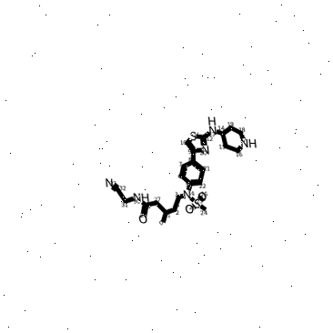 CC(CCN(c1ccc(-c2csc(NC3CCNCC3)n2)cc1)S(C)(=O)=O)CC(=O)NCC#N